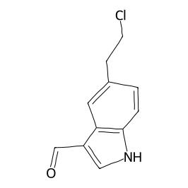 O=Cc1c[nH]c2ccc(CCCl)cc12